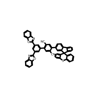 N#Cc1cc(-c2ccc3c(c2)C2(c4ccccc4Sc4ccccc42)c2ccccc2-3)c(C#N)cc1-c1cc(-c2nc3ccccc3o2)cc(-c2nc3ccccc3o2)c1